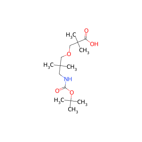 CC(C)(CNC(=O)OC(C)(C)C)COCC(C)(C)C(=O)O